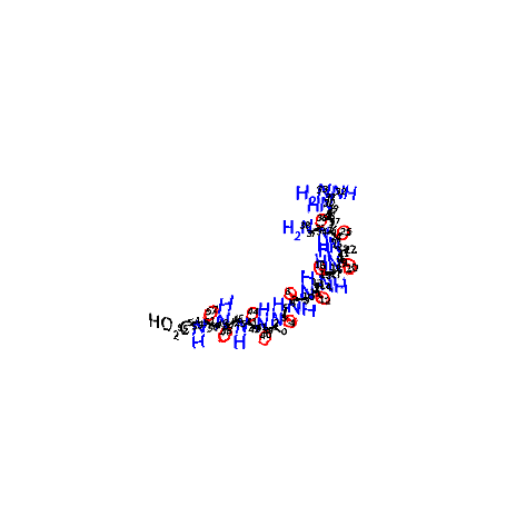 C[C@H](NC(=O)CNC(=O)CNC(=O)CNC(=O)CNC(=O)[C@H](C)NC(=O)[C@H](CCCNC(=N)N)NC(=O)CN)C(=O)NCC(=O)NCC(=O)NCC(=O)NCC(=O)O